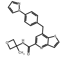 CC1(NC(=O)c2cc(Cc3ccc(-n4cccn4)cc3)c3sccc3n2)COC1